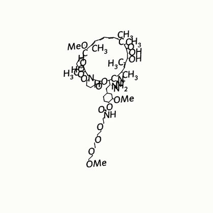 COCCOCCOCCOCCNC(=O)O[C@@H]1CC[C@@H](C[C@@H](N)[C@@H]2CC(N=[N+]=[N-])[C@H](C)/C=C(\C)[C@@H](O)[C@@H](O)C(=O)[C@H](C)C[C@H](C)/C=C/C=C/C=C(\C)[C@@H](OC)C[C@@H]3CC[C@@H](C)[C@@](O)(O3)C(=O)C(=O)N3CCCC[C@H]3C(=O)O2)C[C@H]1OC